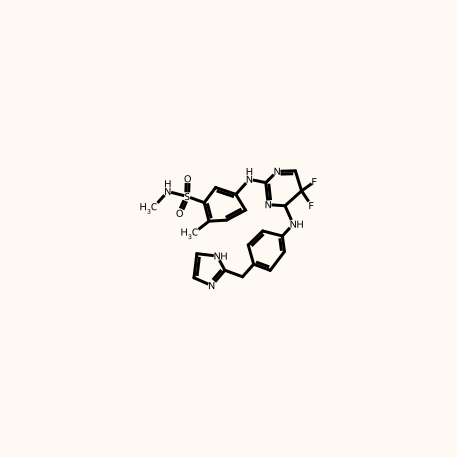 CNS(=O)(=O)c1cc(NC2=NC(Nc3ccc(Cc4ncc[nH]4)cc3)C(F)(F)C=N2)ccc1C